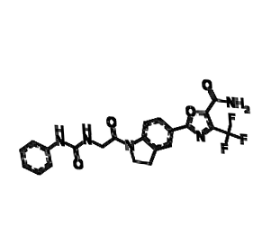 NC(=O)c1oc(-c2ccc3c(c2)CCN3C(=O)CNC(=O)Nc2ccccc2)nc1C(F)(F)F